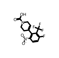 O=C(O)N1CC=C(c2c([N+](=O)[O-])ccc(F)c2C(F)(F)F)CC1